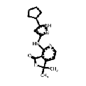 CC1(C)OC(=O)c2c1ccnc2Nc1cc(C2CCCC2)[nH]n1